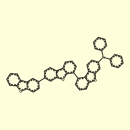 c1ccc(N(c2ccccc2)c2ccc3c(c2)oc2cccc(-c4cccc5c4oc4cc(-c6ccc7oc8ccccc8c7c6)ccc45)c23)cc1